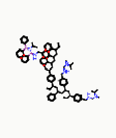 CCC(CC(CC(CC(CC)c1ccc(CNCN(C)C(C)C)cc1)c1ccc(CNCN(C)C(C)C)cc1)c1ccccc1)c1ccc(C(CC)CC(CC(CC(CC)c2ccccc2)c2ccc(CNP(c3ccccc3)N(C(C)C)P(c3ccccc3)c3ccccc3)cc2)c2ccccc2)cc1